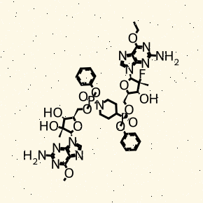 CCOc1nc(N)nc2c1ncn2[C@@H]1O[C@H](COP(=O)(Oc2ccccc2)C2CCN(P(=O)(OC[C@H]3O[C@H](n4cnc5c(OC)nc(N)nc54)[C@](C)(O)[C@@H]3O)Oc3ccccc3)CC2)[C@@H](O)[C@@]1(C)F